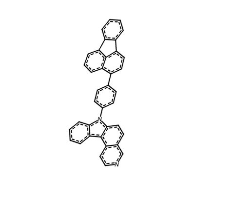 c1ccc2c(c1)-c1cccc3c(-c4ccc(-n5c6ccccc6c6c7ccncc7ccc65)cc4)ccc-2c13